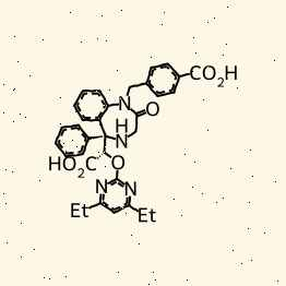 CCc1cc(CC)nc(O[C@H](C(=O)O)[C@@]2(c3ccccc3)NCC(=O)N(Cc3ccc(C(=O)O)cc3)c3ccccc32)n1